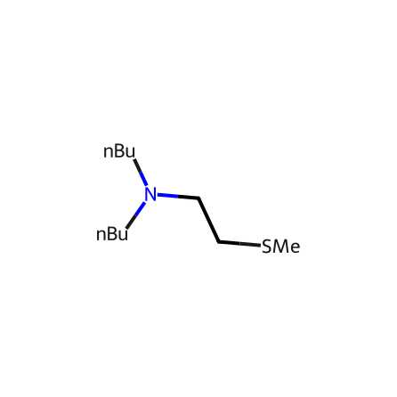 CCCCN(CCCC)CCSC